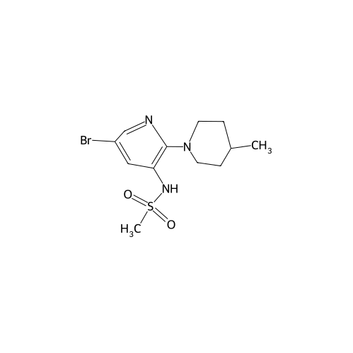 CC1CCN(c2ncc(Br)cc2NS(C)(=O)=O)CC1